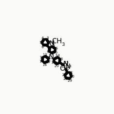 Cn1c2ccccc2c2cc(N(c3ccccc3)c3ccc(-c4nnc(-c5ccccc5)o4)cc3)ccc21